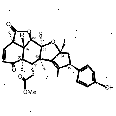 COC(=O)C[C@H]1[C@]2(C)C3=C(C)[C@H](c4ccc(O)cc4)C[C@H]3O[C@@H]2[C@@H]2OC(=O)[C@]3(C)C=CC(=O)[C@@]1(C)[C@@H]23